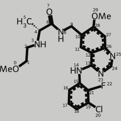 COCCN[C@H](C)C(=O)NCc1cc2c(Nc3cccc(Cl)c3F)ncnc2cc1OC